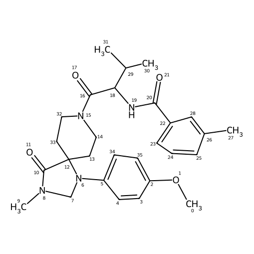 COc1ccc(N2CN(C)C(=O)C23CCN(C(=O)C(NC(=O)c2cccc(C)c2)C(C)C)CC3)cc1